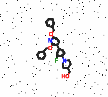 OCC1CCN(c2ccc(-c3ccc(OCc4ccccc4)nc3OCc3ccccc3)cc2F)CC1